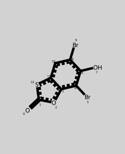 O=c1oc2c(Br)c(O)c(Br)cc2s1